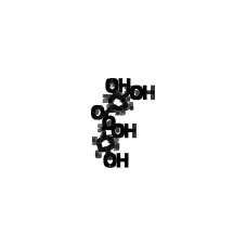 O=C(OCc1ccc(O)cc1O)c1ccc(CO)c(O)c1